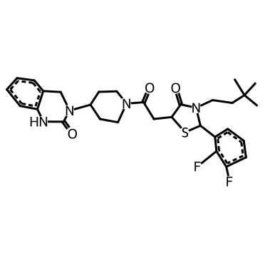 CC(C)(C)CCN1C(=O)C(CC(=O)N2CCC(N3Cc4ccccc4NC3=O)CC2)SC1c1cccc(F)c1F